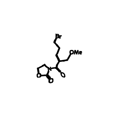 COCC(CCCBr)C(=O)N1CCOC1=O